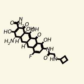 NC(=O)C1=C(O)[C@@H](N)[C@@H]2C[C@@H]3Cc4c(F)cc(NC(=O)CNC5CCC5)c(O)c4C(=O)C3=C(O)[C@]2(O)C1=O